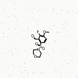 COc1ccc(S(=O)(=O)N2CCOCC2)c(C=O)c1F